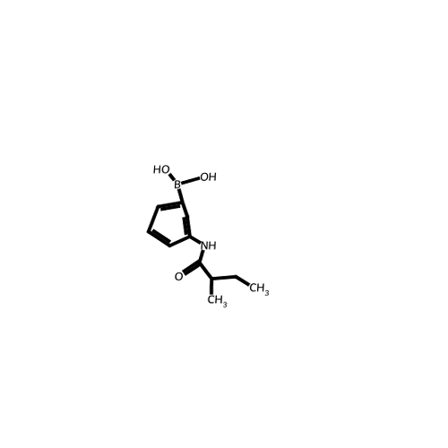 CCC(C)C(=O)Nc1cccc(B(O)O)c1